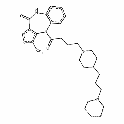 Cc1scc2c1N(C(=O)CCCN1CCC(CCCN3CCCCC3)CC1)c1ccccc1NC2=O